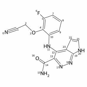 N#CCOc1c(F)cccc1Nc1c(C(N)=O)nnc2[nH]ccc12